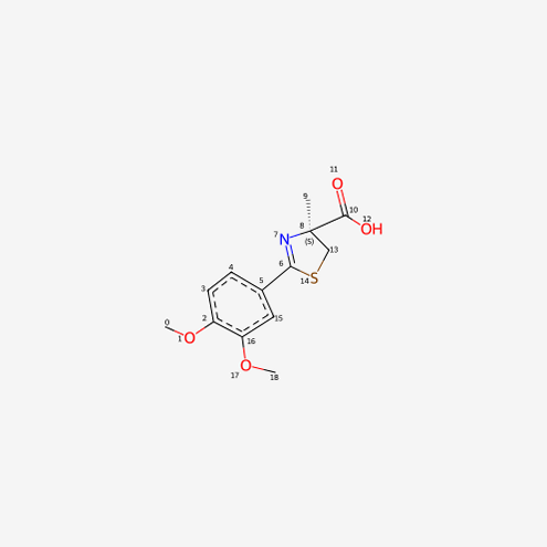 COc1ccc(C2=N[C@@](C)(C(=O)O)CS2)cc1OC